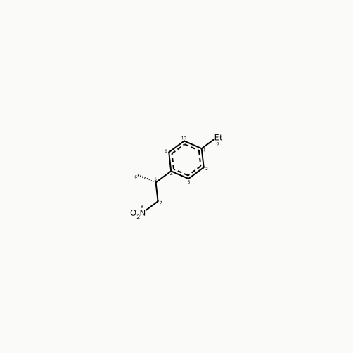 CCc1ccc([C@@H](C)C[N+](=O)[O-])cc1